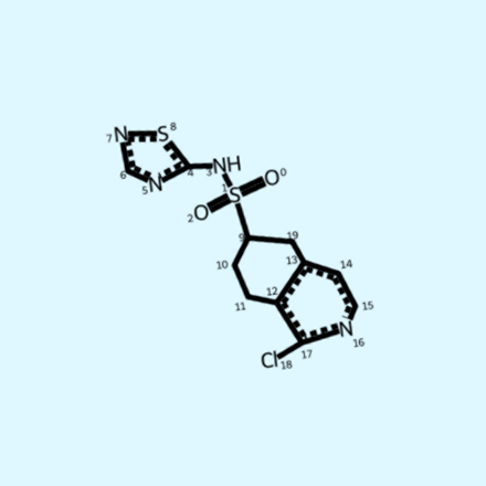 O=S(=O)(Nc1ncns1)C1CCc2c(ccnc2Cl)C1